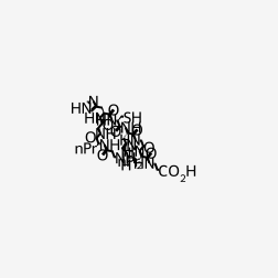 CCC[C@H](NC(=O)CCN)C(=O)NCC(=O)N[C@@H](Cc1c[nH]cn1)C(=O)N[C@@H](CS)C(=O)N[C@@H](Cc1c[nH]cn1)C(=O)NCC(=O)N[C@@H](CCC)C(=O)NCCC(=O)O